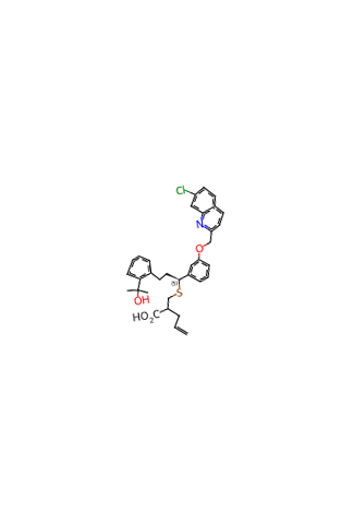 C=CCC(CS[C@@H](CCc1ccccc1C(C)(C)O)c1cccc(OCc2ccc3ccc(Cl)cc3n2)c1)C(=O)O